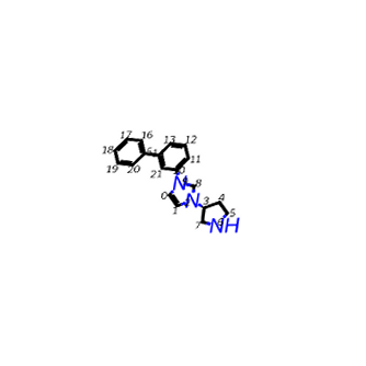 C1=CN([C@H]2CCNC2)CN1c1cccc(-c2ccccc2)c1